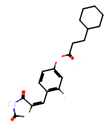 O=C(CCC1CCCCC1)Oc1ccc(C=C2SC(=O)NC2=O)c(Cl)c1